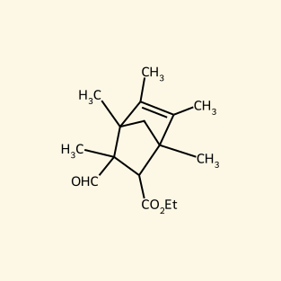 CCOC(=O)C1C2(C)CC(C)(C(C)=C2C)C1(C)C=O